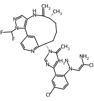 C=C1Nc2cnn(C(F)F)c2-c2ccnc(c2)[C@@H](N2C=NC(c3cc(Cl)ccc3N(N)/C=C(\N)Cl)=CC2=C)CCC[C@H]1C